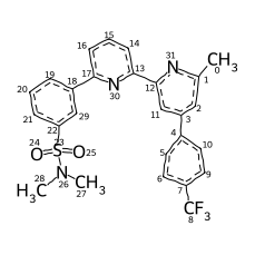 Cc1cc(-c2ccc(C(F)(F)F)cc2)cc(-c2cccc(-c3cccc(S(=O)(=O)N(C)C)c3)n2)n1